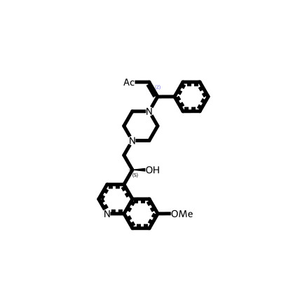 COc1ccc2nccc([C@H](O)CN3CCN(/C(=C\C(C)=O)c4ccccc4)CC3)c2c1